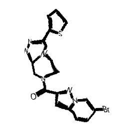 O=C(c1cc2ccc(Br)cn2n1)N1CCn2c(nnc2-c2cccs2)C1